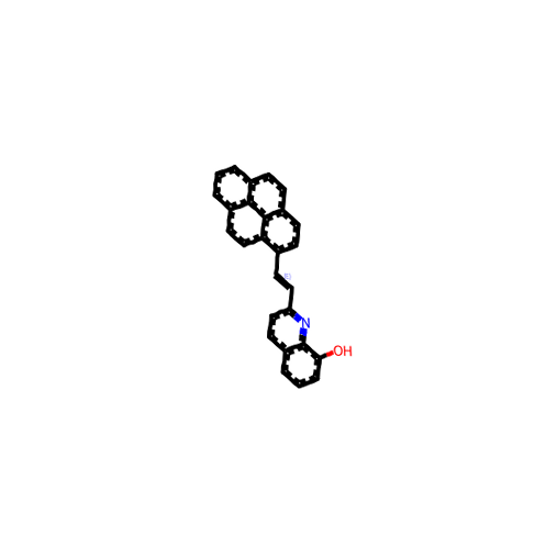 Oc1cccc2ccc(/C=C/c3ccc4ccc5cccc6ccc3c4c56)nc12